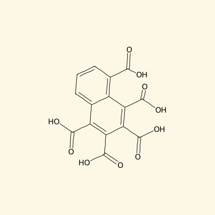 O=C(O)c1c(C(=O)O)c(C(=O)O)c2c(C(=O)O)cccc2c1C(=O)O